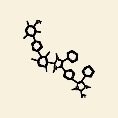 Cc1cc(C)c(C(C)C)c(C)c1-c1ccc(-c2c(C)cc(C)c(C3N(C)C(c4ccccc4)=C(c4ccc(C5=C(c6ccccc6)N(C)C(C(C)C)N5C)cc4)N3C)c2C)cc1